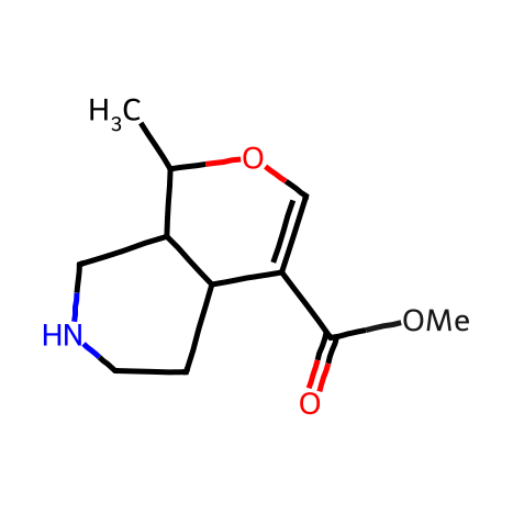 COC(=O)C1=COC(C)C2CNCCC12